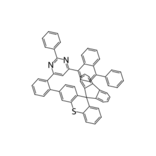 c1ccc(-c2nc(-c3ccccc3-c3ccc4c(c3)Sc3ccccc3C43c4ccccc4-c4ccccc43)cc(-c3ccc(-c4ccccc4)c4ccccc34)n2)cc1